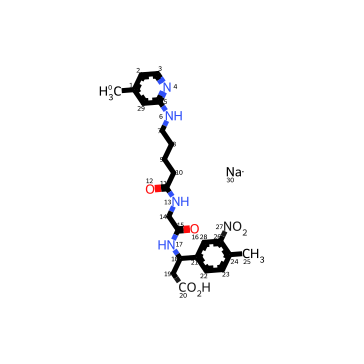 Cc1ccnc(NCCCCC(=O)NCC(=O)NC(CC(=O)O)c2ccc(C)c([N+](=O)[O-])c2)c1.[Na]